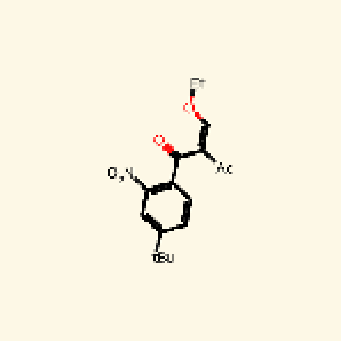 CCO/C=C(/C(C)=O)C(=O)c1ccc(C(C)(C)C)cc1[N+](=O)[O-]